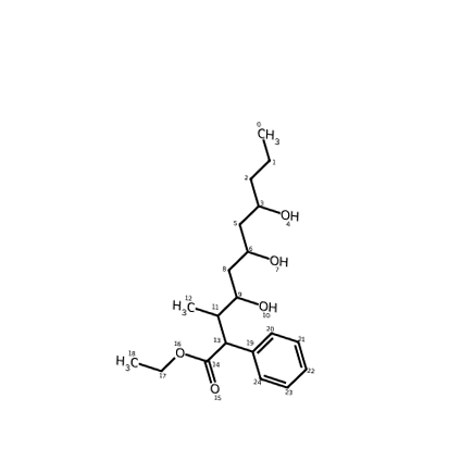 CCCC(O)CC(O)CC(O)C(C)C(C(=O)OCC)c1ccccc1